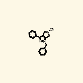 N#CN1Cc2c(-c3ccccc3)nn(Cc3ccccc3)c2C1